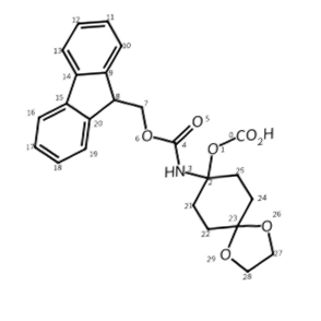 O=C(O)OC1(NC(=O)OCC2c3ccccc3-c3ccccc32)CCC2(CC1)OCCO2